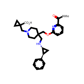 CNC(=O)c1cccc(OCC2(CN[C@@H]3C[C@H]3c3ccccc3)CCN(CC3(C(=O)O)CC3)CC2)n1